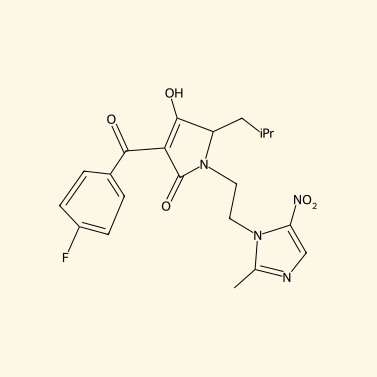 Cc1ncc([N+](=O)[O-])n1CCN1C(=O)C(C(=O)c2ccc(F)cc2)=C(O)C1CC(C)C